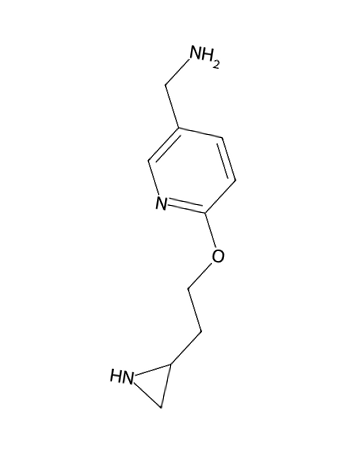 NCc1ccc(OCCC2CN2)nc1